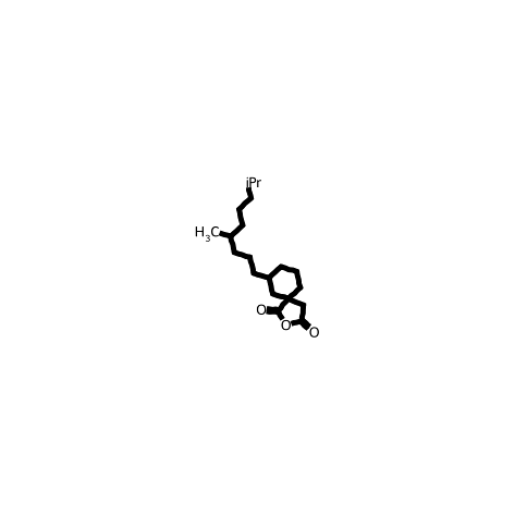 CC(C)CCCC(C)CCCC1CCCC2(CC(=O)OC2=O)C1